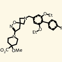 CCOc1cc(CN2CC3(CC(N4CCC(OC)(C(=O)O)CC4)=NO3)C2)cc(OCC)c1-c1ccc(F)cc1